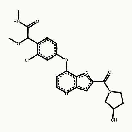 CNC(=O)C(OC)c1ccc(Oc2ccnc3cc(C(=O)N4CCC(O)C4)sc23)cc1Cl